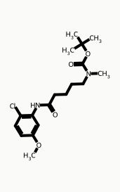 COc1ccc(Cl)c(NC(=O)CCCCN(C)C(=O)OC(C)(C)C)c1